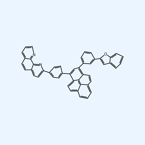 c1cc(-c2cc3ccccc3o2)cc(-c2cc(-c3ccc(-c4ccc5ccc6cccnc6c5n4)cc3)c3ccc4cccc5ccc2c3c45)c1